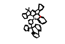 CC1(C)c2ccccc2-c2c1cc1c3c2N(c2cccc(C4(c5ccccc5)c5ccccc5-c5ccccc54)c2)c2ccccc2C3(C)c2ccccc2-1